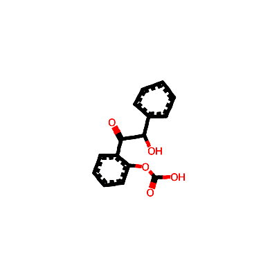 O=C(O)Oc1ccccc1C(=O)C(O)c1ccccc1